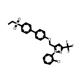 CCS(=O)(=O)c1ccc(-c2ccc(OCc3cc(C(F)(F)F)nn3-c3ccccc3Cl)cc2)cc1